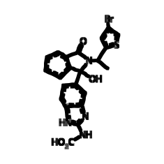 CC(c1cc(Br)cs1)N1C(=O)c2ccccc2C1(O)c1ccc2[nH]c(NC(=O)O)nc2c1